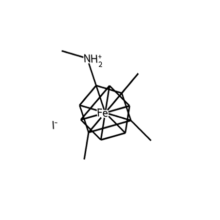 C[NH2+][C]12[CH]3[C]4(C)[C]5(C)[C]1(C)[Fe]34251678[CH]2[CH]1[CH]6[CH]7[CH]28.[I-]